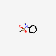 [CH2]S(=O)(=O)N(C)c1ccccc1